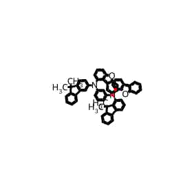 CC1(C)c2ccccc2-c2cc(N(c3cccc(N(c4cccc5c4C(C)(C)c4ccccc4-5)c4cccc5c4oc4ccccc45)c3)c3cccc4oc5ccccc5c34)ccc21